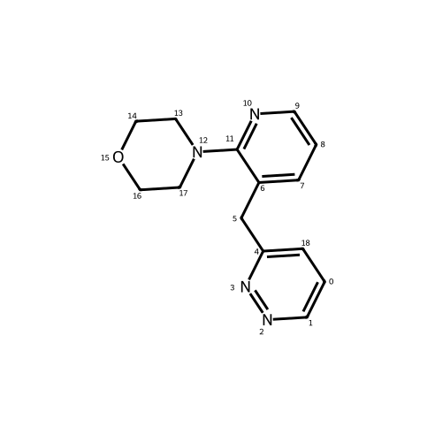 c1cnnc(Cc2cccnc2N2CCOCC2)c1